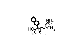 CC(O)C(c1ccc2ccccc2c1)N(C)CCN(C)CC(N)=O